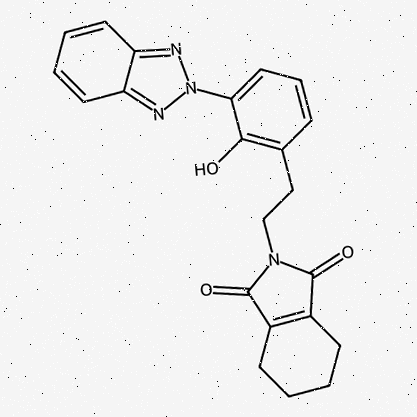 O=C1C2=C(CCCC2)C(=O)N1CCc1cccc(-n2nc3ccccc3n2)c1O